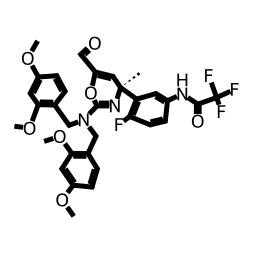 COc1ccc(CN(Cc2ccc(OC)cc2OC)C2=N[C@](C)(c3cc(NC(=O)C(F)(F)F)ccc3F)C=C(C=O)O2)c(OC)c1